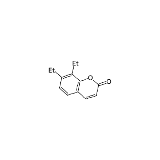 CCc1ccc2ccc(=O)oc2c1CC